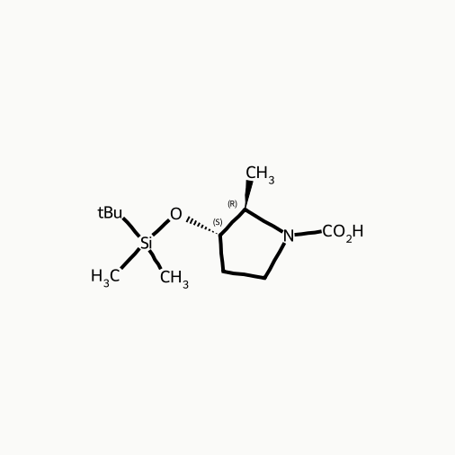 C[C@@H]1[C@@H](O[Si](C)(C)C(C)(C)C)CCN1C(=O)O